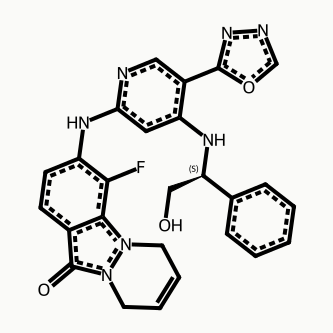 O=c1c2ccc(Nc3cc(N[C@H](CO)c4ccccc4)c(-c4nnco4)cn3)c(F)c2n2n1CC=CC2